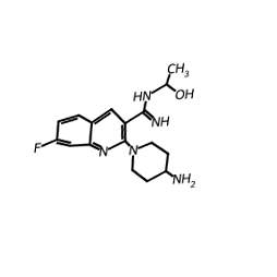 CC(O)NC(=N)c1cc2ccc(F)cc2nc1N1CCC(N)CC1